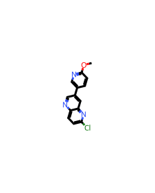 COc1ccc(-c2cnc3ccc(Cl)nc3c2)cn1